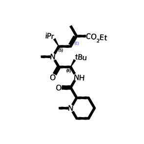 CCOC(=O)/C(C)=C/[C@H](C(C)C)N(C)C(=O)[C@H](NC(=O)C1CCCCN1C)C(C)(C)C